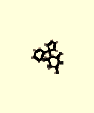 O=c1[nH]c(=O)n(C2(c3ccccc3)N=CC=N2)c(=O)[nH]1